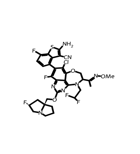 CO/N=C(\C)C1COc2c(Cl)c(-c3ccc(F)c4sc(N)c(C#N)c34)c(F)c3nc(OC[C@@]45CCCN4C[C@H](F)C5)nc(c23)N1CC(F)F